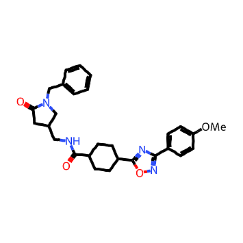 COc1ccc(-c2noc(C3CCC(C(=O)NCC4CC(=O)N(Cc5ccccc5)C4)CC3)n2)cc1